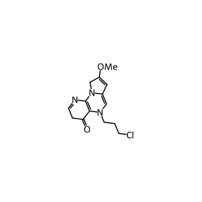 COC1=CC2=CN(CCCCl)C3=C(N=CCC3=O)N2C1